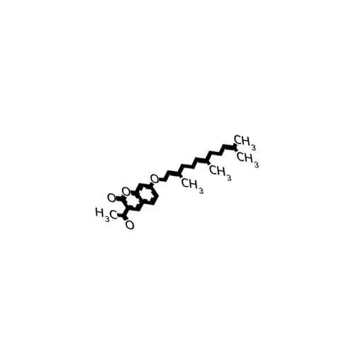 CC(=O)c1cc2ccc(OC/C=C(\C)CC/C=C(\C)CCC=C(C)C)cc2oc1=O